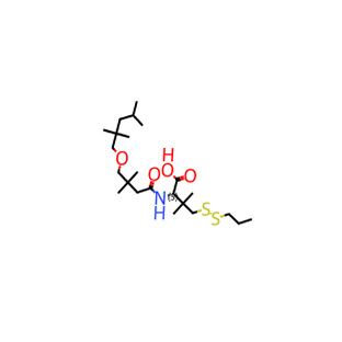 CCCSSCC(C)(C)[C@H](NC(=O)CC(C)(C)COCC(C)(C)CC(C)C)C(=O)O